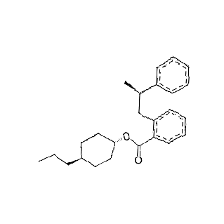 CCC[C@H]1CC[C@H](OC(=O)c2ccccc2C[C@@H](C)c2ccccc2)CC1